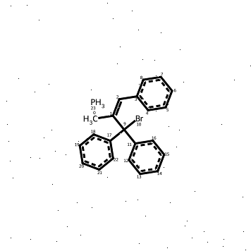 C/C(=C/c1ccccc1)C(Br)(c1ccccc1)c1ccccc1.P